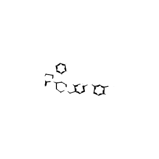 Cc1nc(Oc2ccc(O)c(C(C)(C)C)c2)ccc1CN1CCC(N2C(=O)OC[C@H]2c2ccccc2)CC1